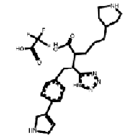 O=C(O)C(CCCC1CCNCC1)[C@H](Cc1ccc(C2=CCNC2)cc1)c1nnn[nH]1.O=C(O)C(F)(F)F